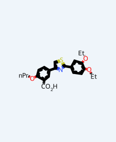 CCCOc1ccc(-c2csc(-c3ccc(OCC)c(OCC)c3)n2)cc1C(=O)O